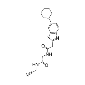 N#CCNC(=O)CNC(=O)Cc1nc2ccc(C3CCCCC3)cc2s1